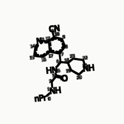 CCCNCC(=O)NC(c1ccc(C#N)c2ncccc12)C1CCNCC1